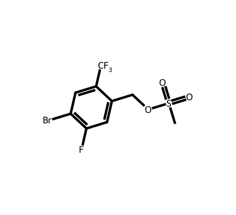 CS(=O)(=O)OCc1cc(F)c(Br)cc1C(F)(F)F